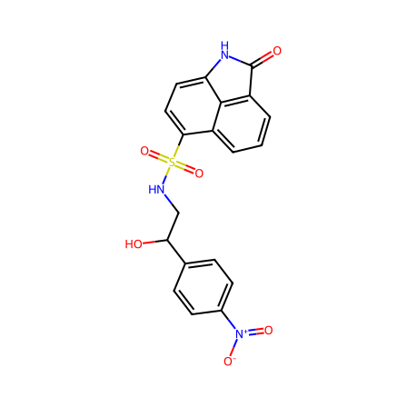 O=C1Nc2ccc(S(=O)(=O)NCC(O)c3ccc([N+](=O)[O-])cc3)c3cccc1c23